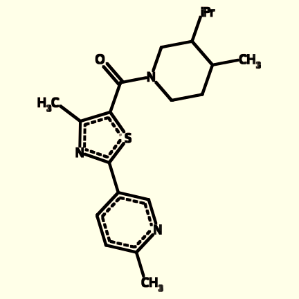 Cc1ccc(-c2nc(C)c(C(=O)N3CCC(C)C(C(C)C)C3)s2)cn1